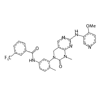 COc1ccncc1Nc1ncc2c(n1)N(C)C(=O)N(c1cc(NC(=O)c3cccc(C(F)(F)F)c3)ccc1C)C2